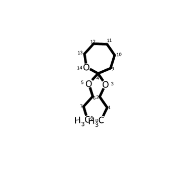 CCCOC1(OCCC)CCCCCO1